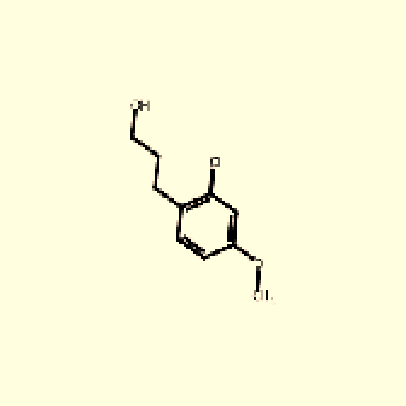 COc1ccc(CCCO)c(Cl)c1